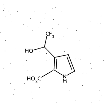 O=C(O)c1[nH]ccc1C(O)C(F)(F)F